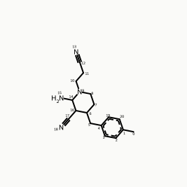 Cc1ccc(CC2CCN(CCC#N)C(N)C2C#N)cc1